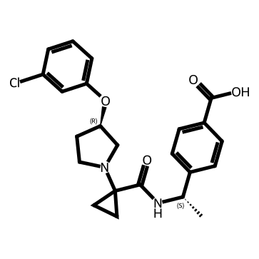 C[C@H](NC(=O)C1(N2CC[C@@H](Oc3cccc(Cl)c3)C2)CC1)c1ccc(C(=O)O)cc1